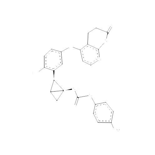 COc1ccc(NC(=O)N[C@@]23C[C@H]2[C@H]3c2cc(Oc3ccnc4c3CCC(=O)N4)ccc2O)cc1